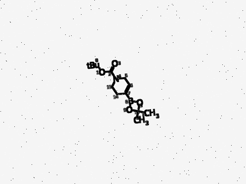 CC(C)(C)OC(=O)N1CC=C(B2OC(C)(C)O2)CC1